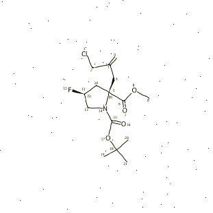 C=C(CCl)C[C@]1(C(=O)OC)C[C@H](F)CN1C(=O)OC(C)(C)C